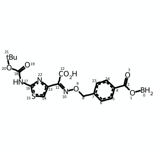 BOC(=O)c1ccc(CO/N=C(\C(=O)O)c2csc(NC(=O)OC(C)(C)C)n2)cc1